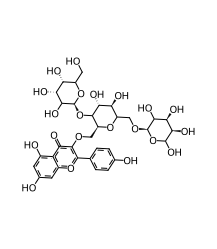 O=c1c(OC[C@@H]2OC(CO[C@@H]3OC(O)[C@H](O)[C@H](O)C3O)[C@H](O)[C@@H](O)C2O[C@@H]2OC(CO)[C@@H](O)[C@@H](O)C2O)c(-c2ccc(O)cc2)oc2cc(O)cc(O)c12